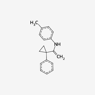 C=C(Nc1ccc(C)cc1)C1(c2ccccc2)CC1